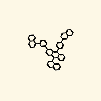 c1cc(-c2ccc3c(-c4cccc5ccccc45)c4ccccc4c(-c4ccc(-c5ccc6ccccc6c5)cc4)c3c2)cc(-c2cccc3ccccc23)c1